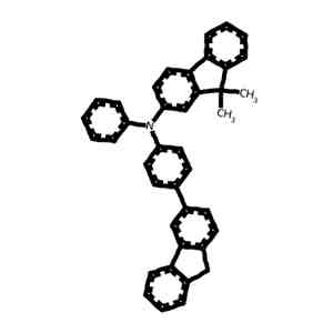 CC1(C)c2ccccc2-c2ccc(N(c3ccccc3)c3ccc(-c4ccc5c(c4)-c4ccccc4C5)cc3)cc21